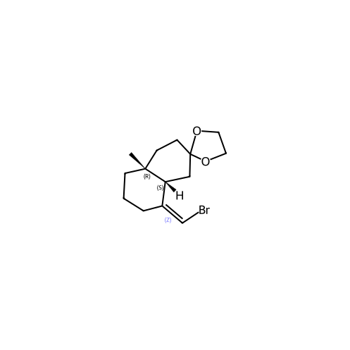 C[C@]12CCC/C(=C/Br)[C@H]1CC1(CC2)OCCO1